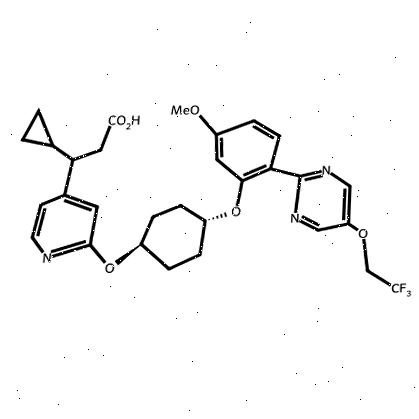 COc1ccc(-c2ncc(OCC(F)(F)F)cn2)c(O[C@H]2CC[C@H](Oc3cc(C(CC(=O)O)C4CC4)ccn3)CC2)c1